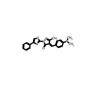 CC1=NN(c2nc(-c3ccccc3)cs2)C(=O)/C1=C/c1ccc(N(C)C)cc1